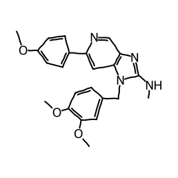 CNc1nc2cnc(-c3ccc(OC)cc3)cc2n1Cc1ccc(OC)c(OC)c1